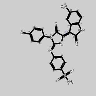 NS(=O)(=O)c1ccc(/N=C2\S/C(=C3\C(=O)Nc4ccc([N+](=O)[O-])cc43)C(=O)N2c2ccc(Cl)cc2)cc1